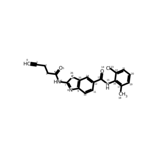 C#CCCC(=O)Nc1nc2ccc(C(=O)Nc3c(C)cccc3Cl)cc2s1